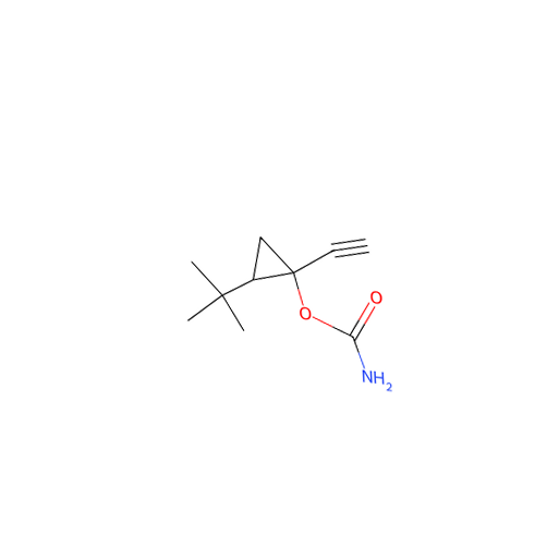 C#CC1(OC(N)=O)CC1C(C)(C)C